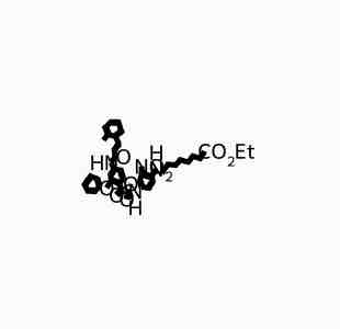 CCOC(=O)CCCCCCCNc1ccc(NS(=O)(=O)C(=O)c2ccc(NC(=O)C=Cc3ccccc3C)cc2Oc2ccccc2)cc1[N+](=O)[O-]